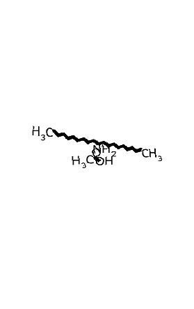 CC(=O)O.CCCCCCCCCCC(N)CCCCCCCCCC